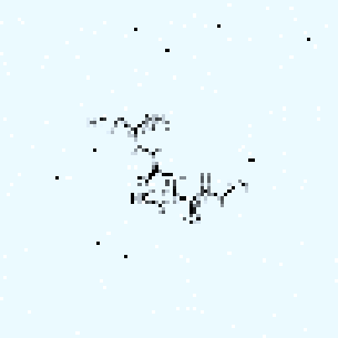 CC(C)CNC(=O)[C@H](CS)NC(=O)CC[C@H](N)C(=O)O